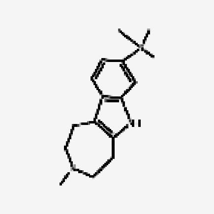 CN1CCc2[nH]c3cc(S(C)(C)C)ccc3c2CC1